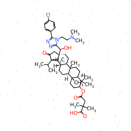 CC(C)C1=C2[C@H]3CC[C@@H]4[C@@]5(C)CC[C@H](OC(=O)CC(C)(C)C(=O)O)C(C)(C)[C@@H]5CC[C@@]4(C)[C@]3(C)CC[C@@]2([C@H](O)c2nnc(-c3ccc(Cl)cc3)n2CCN(C)C)CC1=O